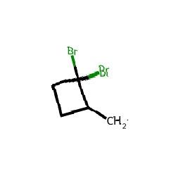 [CH2]C1CCC1(Br)Br